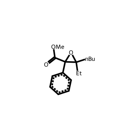 CCCCC1(CC)OC1(C(=O)OC)c1ccccc1